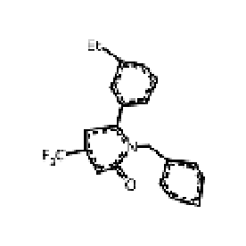 CCc1cccc(-c2cc(C(F)(F)F)cc(=O)n2Cc2ccccc2)c1